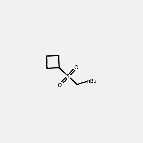 CCCCCS(=O)(=O)[C]1CCC1